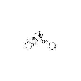 O=C(N[C@@H](CO)C[C@H]1CCCCO1)OCc1ccccc1